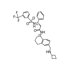 O=C(C[C@@H](NS(=O)(=O)c1cccc(C(F)(F)F)c1)c1ccccc1)N[C@@H]1CCCc2cc(CNC3CCC3)ccc21